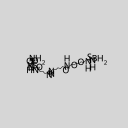 BNC(=S)NCCOCCOCCNC(=O)CCCCCn1cc(CCCC(=O)Nc2nnc(S(N)(=O)=O)s2)nn1